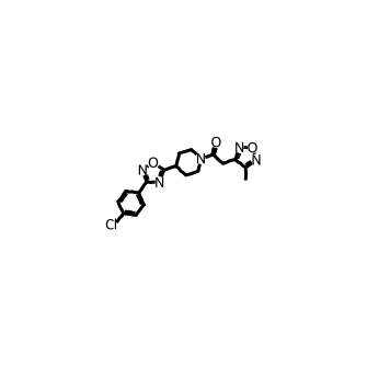 Cc1nonc1CC(=O)N1CCC(c2nc(-c3ccc(Cl)cc3)no2)CC1